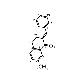 Cc1ccc2c(c1)C(=O)/C(=C/c1ccccc1)CC2